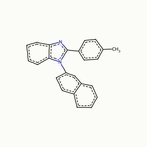 Cc1ccc(-c2nc3ccccc3n2-c2ccc3ccccc3c2)cc1